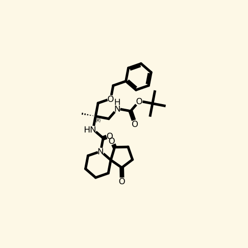 CC(C)(C)OC(=O)NC[C@](C)(COCc1ccccc1)NC(=O)N1CCCCC12C(=O)CCC2=O